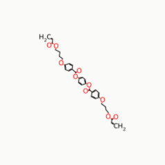 C=CC(=O)OCCCCOc1ccc(C(=O)Oc2ccc(OC(=O)c3ccc(OCCCCOC(=O)C=C)cc3)cc2)cc1